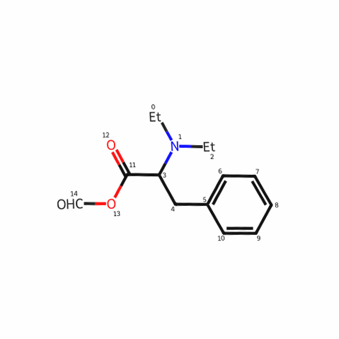 CCN(CC)C(Cc1ccccc1)C(=O)OC=O